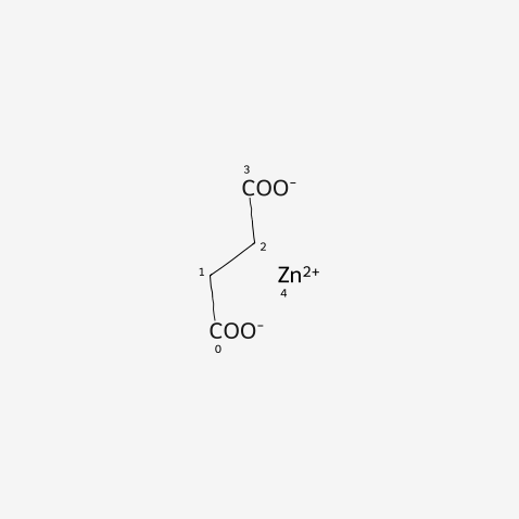 O=C([O-])CCC(=O)[O-].[Zn+2]